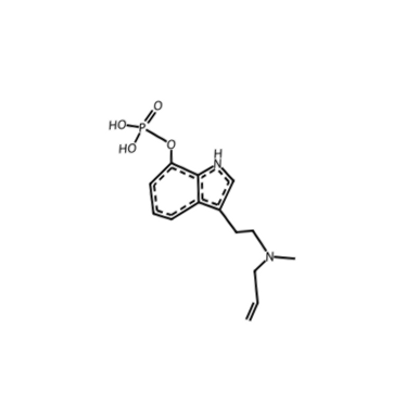 C=CCN(C)CCc1c[nH]c2c(OP(=O)(O)O)cccc12